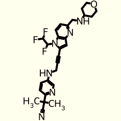 CC(C)(C#N)c1ccc(NCC#Cc2cc3nc(CNC4CCOCC4)ccc3n2C(F)C(F)F)cn1